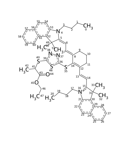 CCCCN1/C(=C/C=C2\CCCC(/C=C/C3=[N+](CCCC)c4ccc5ccccc5c4C3(C)C)=C2Sc2nnc(SC(C)C(=O)OCC)s2)C(C)(C)c2c1ccc1ccccc21